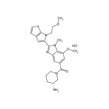 COCCn1c(-c2nc3cc(C(=O)N4CCC[C@@H](N)C4)cc(OC)c3n2C)cc2ccsc21.Cl